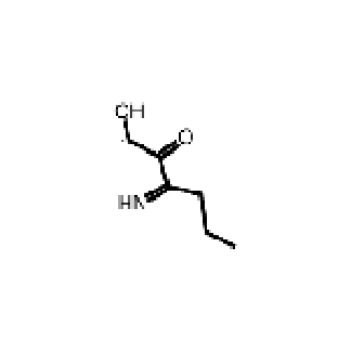 CCCC(=N)C(=O)[CH]O